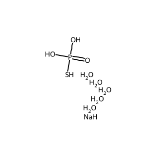 O.O.O.O.O.O=P(O)(O)S.[NaH]